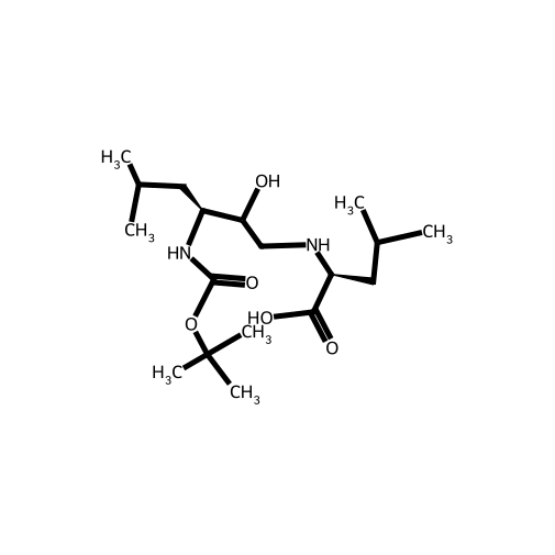 CC(C)C[C@H](NCC(O)[C@H](CC(C)C)NC(=O)OC(C)(C)C)C(=O)O